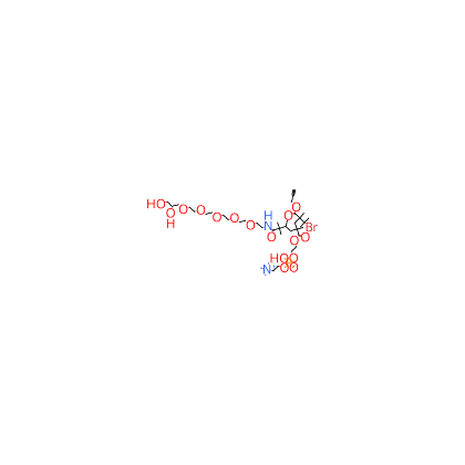 C#CCOC(=O)C(C)(CC(C)(CC(C)C(C)(C)C(=O)NCCOCCOCCOCCOCCOCC(O)CO)C(=O)OCCOP(=O)(O)OCC[N+](C)(C)C)C(C)(C)Br